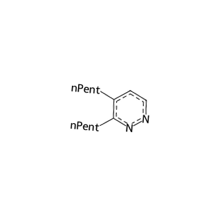 CCCCCc1ccnnc1CCCCC